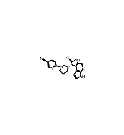 N#Cc1ccc(N2CCC[C@@H](n3c(=O)[nH]c4cnc5[nH]ccc5c43)C2)nc1